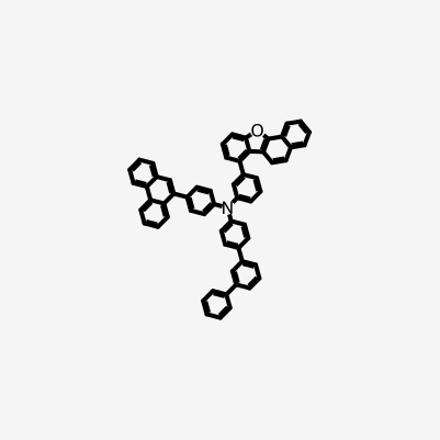 c1ccc(-c2cccc(-c3ccc(N(c4ccc(-c5cc6ccccc6c6ccccc56)cc4)c4cccc(-c5cccc6oc7c8ccccc8ccc7c56)c4)cc3)c2)cc1